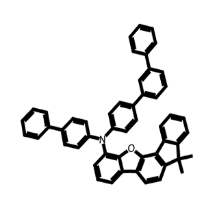 CC1(C)c2ccccc2-c2c1ccc1c2oc2c(N(c3ccc(-c4ccccc4)cc3)c3ccc(-c4cccc(-c5ccccc5)c4)cc3)cccc21